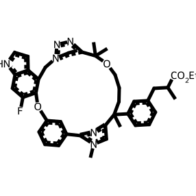 CCOC(=O)C(C)Cc1cccc(C2(C)CCCOC(C)(C)c3cn(nn3)Cc3c(c(F)cc4[nH]ccc34)Oc3cccc(c3)-c3nc2cn3C)c1